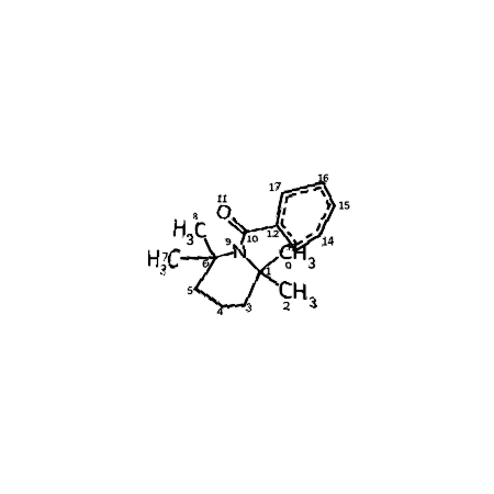 CC1(C)C[CH]CC(C)(C)N1C(=O)c1ccccc1